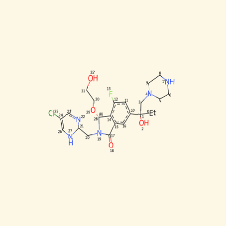 CCC(O)(CN1CCNCC1)c1cc(F)c2c(c1)C(=O)N(CC1N=CC(Cl)=CN1)[C@@H]2OCCO